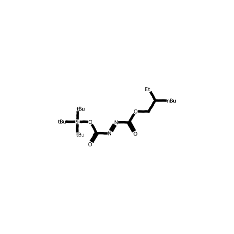 CCCCC(CC)COC(=O)N=NC(=O)O[Si](C(C)(C)C)(C(C)(C)C)C(C)(C)C